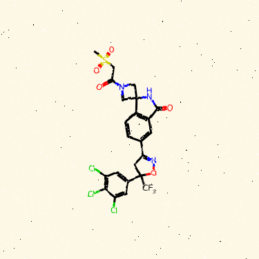 CS(=O)(=O)CC(=O)N1CC2(C1)NC(=O)c1cc(C3=NOC(c4cc(Cl)c(Cl)c(Cl)c4)(C(F)(F)F)C3)ccc12